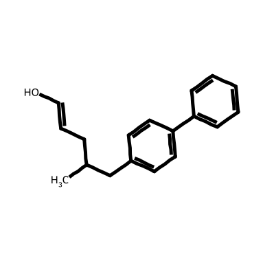 CC(CC=CO)Cc1ccc(-c2ccccc2)cc1